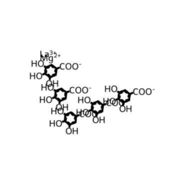 O=C([O-])c1cc(O)c(O)c(O)c1.O=C([O-])c1cc(O)c(O)c(O)c1.O=C([O-])c1cc(O)c(O)c(O)c1.O=C([O-])c1cc(O)c(O)c(O)c1.O=C([O-])c1cc(O)c(O)c(O)c1.[La+3].[Mg+2]